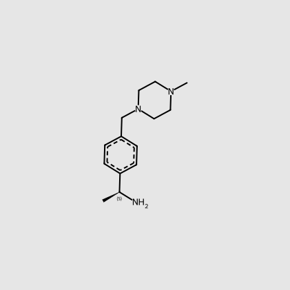 C[C@H](N)c1ccc(CN2CCN(C)CC2)cc1